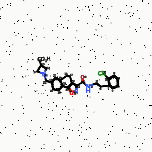 O=C(NCCc1ccccc1Cl)c1noc2c1CCc1cc(CN3CC(C(=O)O)C3)ccc1-2